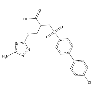 Nc1nnc(SCC(CS(=O)(=O)c2ccc(-c3ccc(Cl)cc3)cc2)C(=O)O)s1